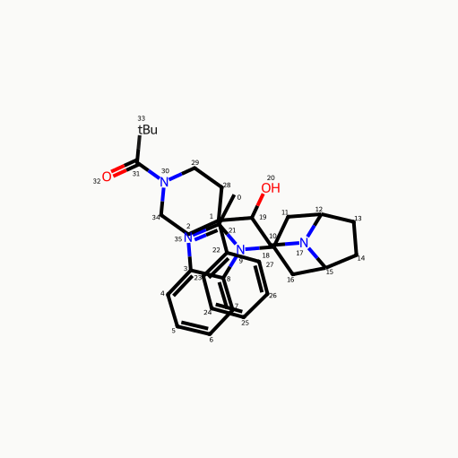 Cc1nc2ccccc2n1C1CC2CCC(C1)N2CC(O)C1(c2ccccc2)CCN(C(=O)C(C)(C)C)CC1